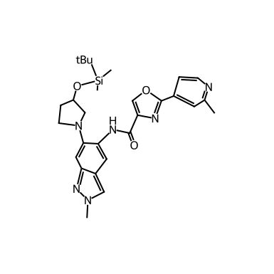 Cc1cc(-c2nc(C(=O)Nc3cc4cn(C)nc4cc3N3CCC(O[Si](C)(C)C(C)(C)C)C3)co2)ccn1